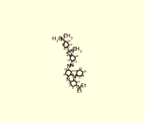 CCN(CC)c1ccc2nc3ccc(N=Nc4ccc5c(c4)sc(-c4ccc(N(C)C)cc4)[n+]5C)cc3[n+](-c3ccccc3)c2c1